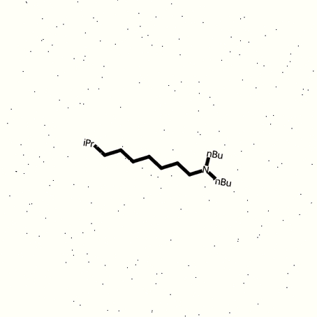 CCCCN(CCCC)CCCCCCCC(C)C